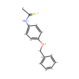 CC(=S)Nc1ccc(OCc2ccccc2)cc1